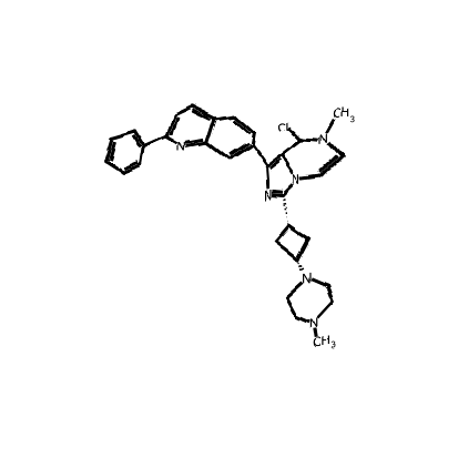 CN1CCN([C@H]2C[C@@H](c3nc(-c4ccc5ccc(-c6ccccc6)nc5c4)c4n3C=CN(C)C4Cl)C2)CC1